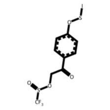 O=C(COS(=O)C(F)(F)F)c1ccc(OSI)cc1